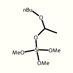 CCCCOC(C)O[Si](OC)(OC)OC